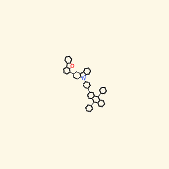 C1=CC(c2cccc3c2oc2ccccc23)Cc2c1n(-c1ccc(-c3ccc4c(-c5ccccc5)c5ccccc5c(-c5ccccc5)c4c3)cc1)c1ccccc21